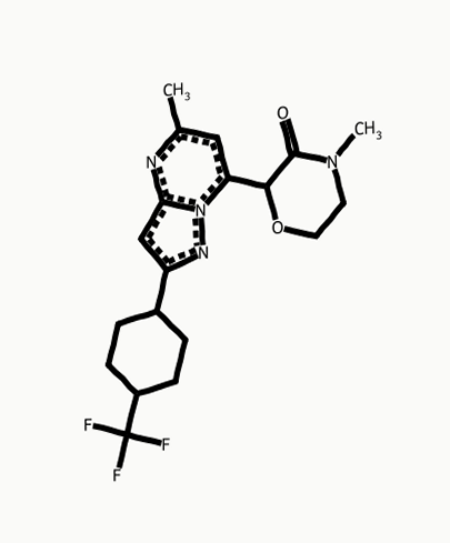 Cc1cc(C2OCCN(C)C2=O)n2nc(C3CCC(C(F)(F)F)CC3)cc2n1